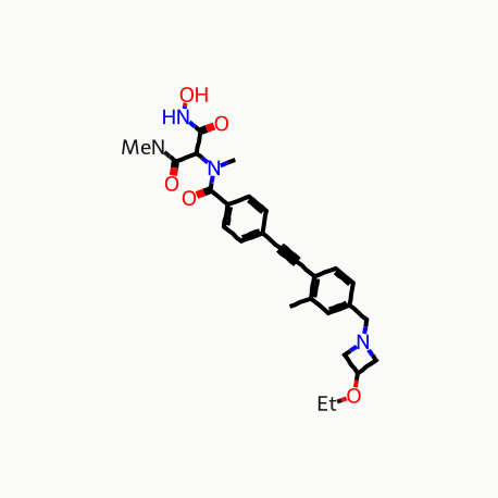 CCOC1CN(Cc2ccc(C#Cc3ccc(C(=O)N(C)C(C(=O)NC)C(=O)NO)cc3)c(C)c2)C1